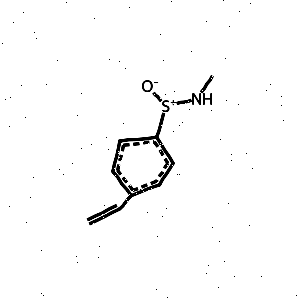 C=Cc1ccc([S+]([O-])NC)cc1